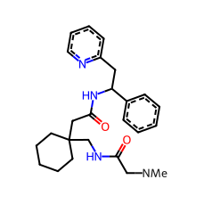 CNCC(=O)NCC1(CC(=O)NC(Cc2ccccn2)c2ccccc2)CCCCC1